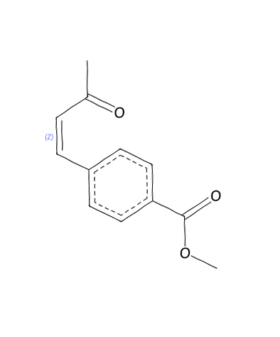 COC(=O)c1ccc(/C=C\C(C)=O)cc1